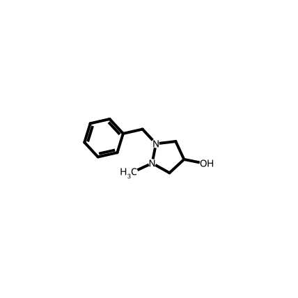 CN1CC(O)CN1Cc1ccccc1